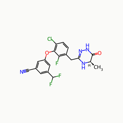 C[C@H]1NC(Cc2ccc(Cl)c(Oc3cc(C#N)cc(C(F)F)c3)c2F)=NNC1=O